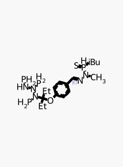 CCC(C)[PH](=S)N(C)/N=C/c1ccc(OC(CC)(CC)N(P)N(P)NP)cc1